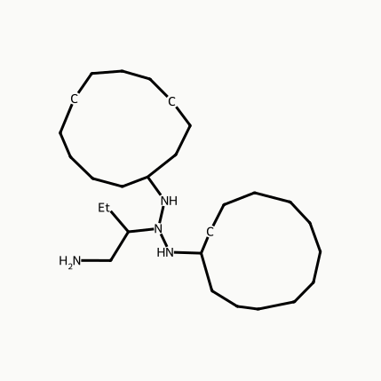 CCC(CN)N(NC1CCCCCCCCCCC1)NC1CCCCCCCCCCC1